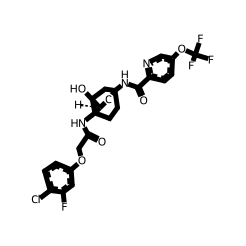 O=C(COc1ccc(Cl)c(F)c1)NC12CCC(NC(=O)c3ccc(OC(F)(F)F)cn3)(CC1)C[C@@H]2O